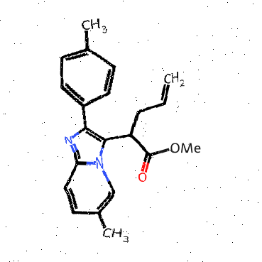 C=CCC(C(=O)OC)c1c(-c2ccc(C)cc2)nc2ccc(C)cn12